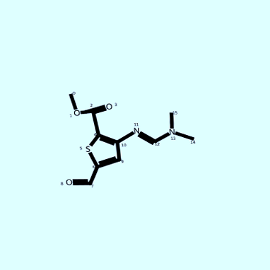 COC(=O)c1sc(C=O)cc1N=CN(C)C